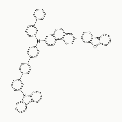 c1ccc(-c2cccc(N(c3ccc(-c4ccc(-c5cccc(-n6c7ccccc7c7ccccc76)c5)cc4)cc3)c3ccc4c(ccc5cc(-c6ccc7c(c6)oc6ccccc67)ccc54)c3)c2)cc1